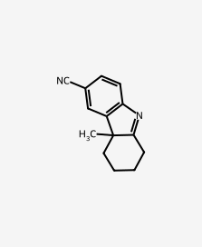 CC12CCCCC1=Nc1ccc(C#N)cc12